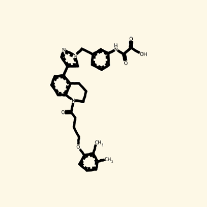 Cc1cccc(OCCCC(=O)N2CCCc3c(-c4cnn(Cc5cccc(NC(=O)C(=O)O)c5)c4)cccc32)c1C